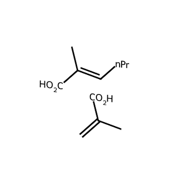 C=C(C)C(=O)O.CCCC=C(C)C(=O)O